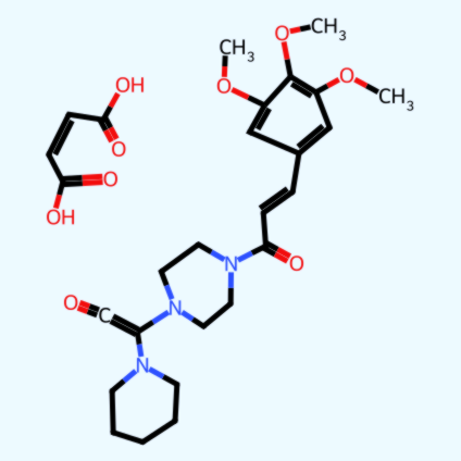 COc1cc(C=CC(=O)N2CCN(C(=C=O)N3CCCCC3)CC2)cc(OC)c1OC.O=C(O)/C=C\C(=O)O